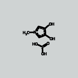 Cn1cc(O)c(O)c1.O=S(O)O